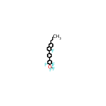 CCCCc1ccc2c(F)c(-c3ccc(-c4cc(F)c(OC(F)(F)F)c(F)c4)cc3)ccc2c1